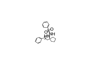 O=S(=O)(NNC1(CSc2ccccc2)CCCC1)c1ccccc1